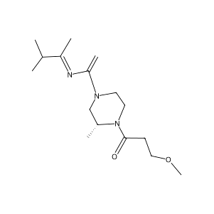 C=C(/N=C(\C)C(C)C)N1CCN(C(=O)CCOC)[C@H](C)C1